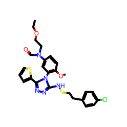 CCOCCN(C=O)c1ccc(OC)c(-n2c(NSCCc3ccc(Cl)cc3)nnc2-c2cccs2)c1